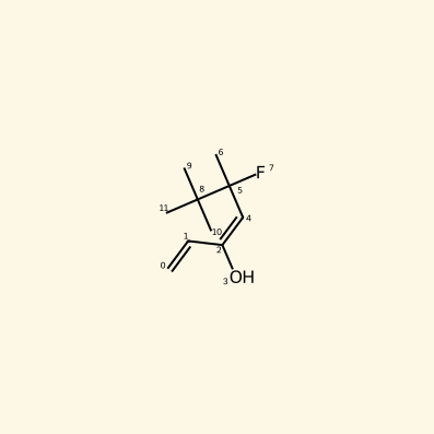 C=C/C(O)=C\C(C)(F)C(C)(C)C